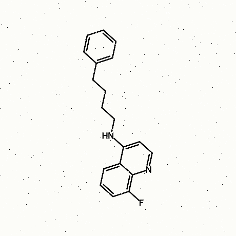 Fc1cccc2c(NCCCCc3ccccc3)ccnc12